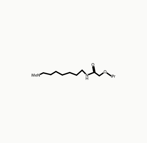 CNCCCCCCCNC(=O)COC(C)C